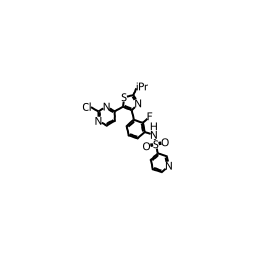 CC(C)c1nc(-c2cccc(NS(=O)(=O)c3cccnc3)c2F)c(-c2ccnc(Cl)n2)s1